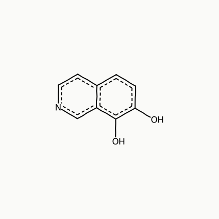 Oc1ccc2ccncc2c1O